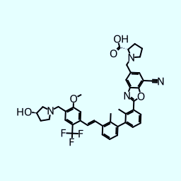 COc1cc(/C=C/c2cccc(-c3cccc(-c4nc5cc(CN6CCC[C@H]6C(=O)O)cc(C#N)c5o4)c3C)c2C)c(C(F)(F)F)cc1CN1CC[C@@H](O)C1